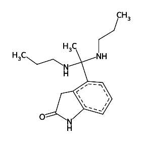 CCCNC(C)(NCCC)c1cccc2c1CC(=O)N2